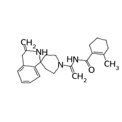 C=C1Cc2ccccc2C2(CCN(C(=C)NC(=O)C3=C(C)CCCC3)CC2)N1